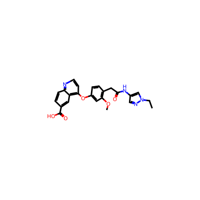 CCn1cc(NC(=O)Cc2ccc(Oc3ccnc4ccc(C(=O)O)cc34)cc2OC)cn1